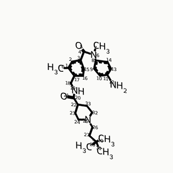 Cc1cc(C(=O)N(C)c2ccc(N)cc2)ccc1CNC(=O)C1CCN(CCC(C)(C)C)CC1